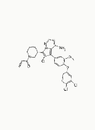 C=CC(=O)N1CCC[C@@H](c2c(Cl)c(-c3ccc(Oc4ccc(Cl)c(Cl)c4)c(OC)c3)c3c(N)ncnn23)C1